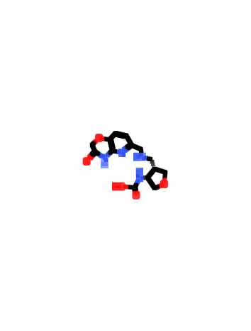 O=C(O)N[C@@H]1COC[C@H]1CNCc1ccc2c(n1)NC(=O)CO2